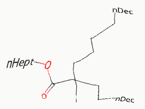 CCCCCCCCCCCCCCC(C)(CCCCCCCCCCCC)C(=O)OCCCCCCC